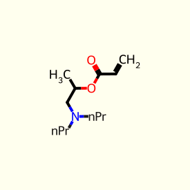 C=CC(=O)OC(C)CN(CCC)CCC